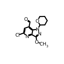 COc1nn(C2CCCCO2)c2c(C=O)cc(Cl)nc12